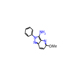 COc1ccc2nn(-c3ccccc3)c(N)c2n1